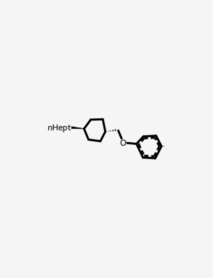 CCCCCCC[C@H]1CC[C@H](COc2cc[c]cc2)CC1